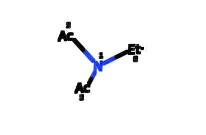 C[CH]N(C(C)=O)C(C)=O